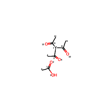 CC(=O)O.C[C](=O)[Y]([C](C)=O)[C](C)=O